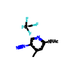 CC(=O)Nc1cc(C)c([N+]#N)cn1.F[B-](F)(F)F